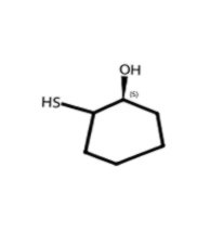 O[C@H]1CCCCC1S